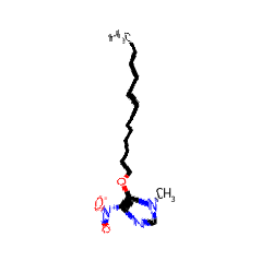 CCCCCCCCCCCCOc1c([N+](=O)[O-])ncn1C